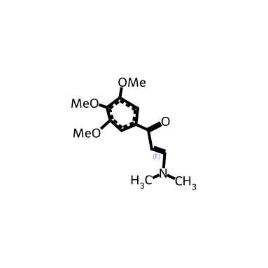 COc1cc(C(=O)/C=C/N(C)C)cc(OC)c1OC